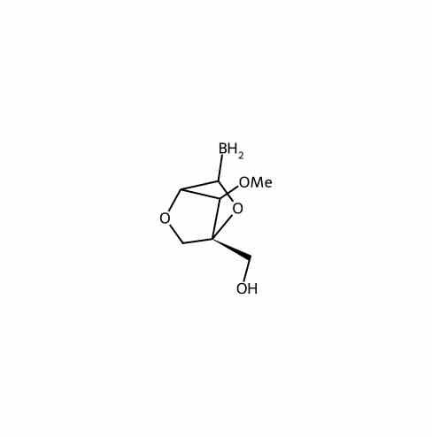 BC1O[C@]2(CO)COC1C2OC